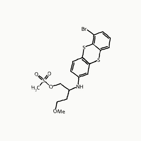 COCCC(COS(C)(=O)=O)Nc1ccc2c(c1)Sc1cccc(Br)c1S2